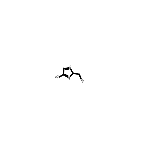 CC(C)CC1N=CC(C(C)C)=N1